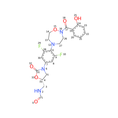 O=CNC[C@H]1CN(c2cc(F)c(N3CCON(C(=O)c4ccccc4O)CC3)c(F)c2)C(=O)O1